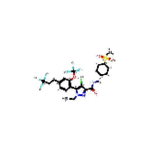 CCn1nc(C(=O)NC[C@H]2CC[C@H](S(C)(=O)=O)CC2)c(Cl)c1-c1ccc(CCC(F)(F)F)cc1OC(F)(F)F